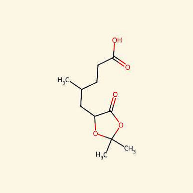 CC(CCC(=O)O)CC1OC(C)(C)OC1=O